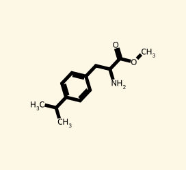 COC(=O)C(N)Cc1ccc(C(C)C)cc1